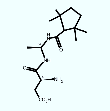 C[C@@H](NC(=O)C1C(C)(C)CCC1(C)C)NC(=O)[C@@H](N)CC(=O)O